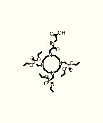 CCOP(=O)(CN1CCN(CC(=O)NCC(=O)O)CCN(CP(=O)(OCC)OCC)CCN(CP(=O)(OCC)OCC)CC1)OCC